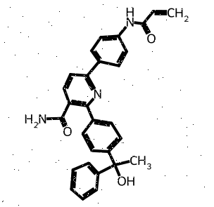 C=CC(=O)Nc1ccc(-c2ccc(C(N)=O)c(-c3ccc(C(C)(O)c4ccccc4)cc3)n2)cc1